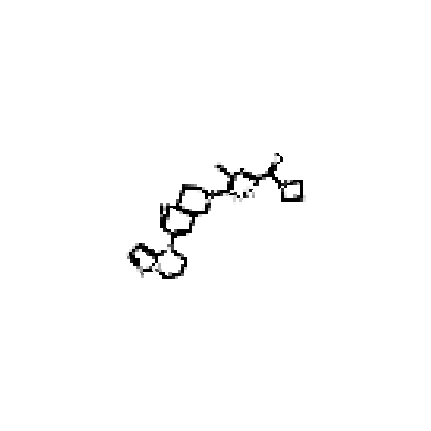 Cc1cc(C(=O)N2CCC2)nnc1N1CCc2ncc(N3CCCn4nccc43)cc2C1